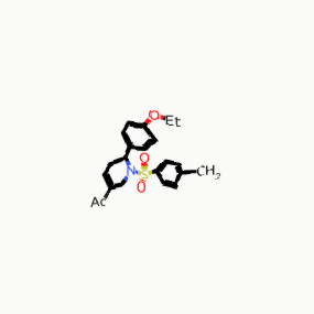 CCOc1ccc(C2CC=C(C(C)=O)CN2S(=O)(=O)c2ccc(C)cc2)cc1